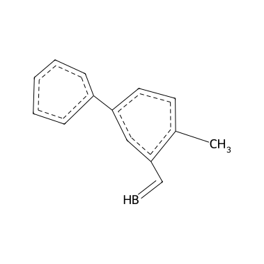 B=Cc1cc(-c2ccccc2)ccc1C